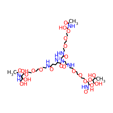 CC(=O)N/C(=C(/O)CO)C(O)OCCOCCOCCNC(=O)CCC(N)C(=O)N(CC(=O)NCCOCCOCCOC(O)NC(C)=O)CC(=O)NCCOCCOCCOC(OC(CO)C(C)O)C(O)NC=O